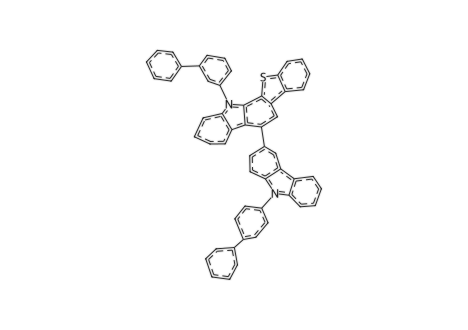 c1ccc(-c2ccc(-n3c4ccccc4c4cc(-c5cc6c7ccccc7sc6c6c5c5ccccc5n6-c5cccc(-c6ccccc6)c5)ccc43)cc2)cc1